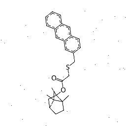 CC1(OC(=O)CSCc2ccc3cc4ccccc4cc3c2)CC2CCC1(C)C2(C)C